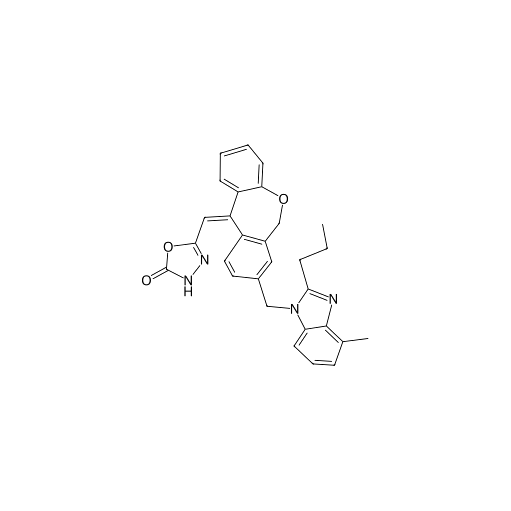 CCCc1nc2c(C)cccc2n1Cc1ccc2c(c1)COc1ccccc1/C2=C/c1n[nH]c(=O)o1